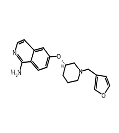 Nc1nccc2cc(O[C@H]3CCCN(Cc4ccoc4)C3)ccc12